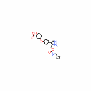 CN(CC1CCC1)C(=O)OCc1c(-c2ccc(O[C@H]3CCC[C@H](C(=O)O)C3)cc2)cnn1C